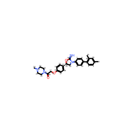 Cc1ccc(-c2ccc(N3C[C@@H](c4ccc(OCC(=O)N5CCN(C)CC5)cc4)OC3=N)cc2)c(C)c1